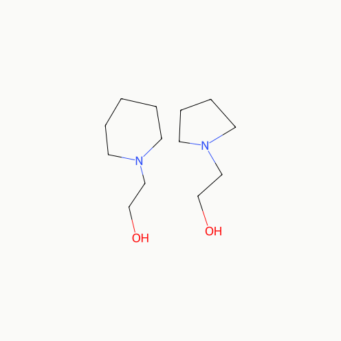 OCCN1CCCC1.OCCN1CCCCC1